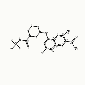 Cc1cc(OC2CCCN(C(=O)OC(C)(C)C)C2)c2cc(O)c(C(N)=O)cc2n1